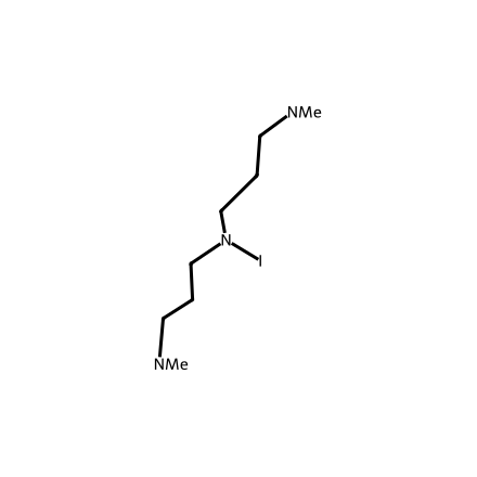 CNCCCN(I)CCCNC